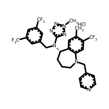 Cc1cc2c(cc1C(F)(F)F)N(Cc1ccncc1)CCC[C@@H]2N(Cc1cc(C(F)(F)F)cc(C(F)(F)F)c1)c1nnn(C)n1.Cl